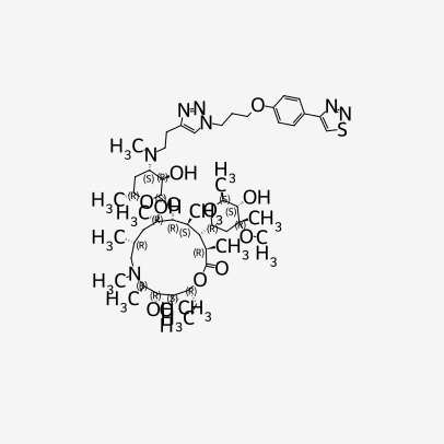 CC[C@H]1OC(=O)[C@H](C)C([C@H]2C[C@@](C)(OC)[C@@H](O)[C@H](C)O2)[C@H](C)[C@@H](O[C@@H]2O[C@H](C)C[C@H](N(C)CCc3cn(CCCOc4ccc(-c5csnn5)cc4)nn3)[C@H]2O)[C@](C)(O)C[C@@H](C)CN(C)[C@H](C)[C@@H](O)[C@]1(C)O